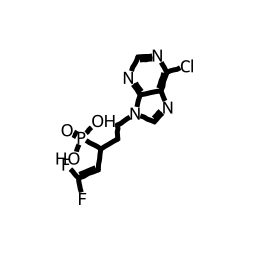 O=P(O)(O)C(C=C(F)F)CCn1cnc2c(Cl)ncnc21